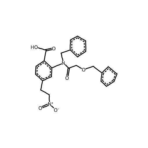 O=C(O)c1ccc(CC[N+](=O)[O-])cc1N(Cc1ccccc1)C(=O)COCc1ccccc1